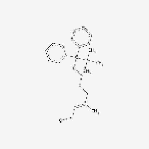 CC(=CCCl)CCCO[Si](c1ccccc1)(c1ccccc1)C(C)(C)C